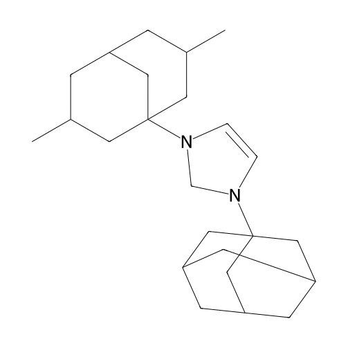 CC1CC2CC(C)CC(N3C=CN(C45CC6CC(CC(C6)C4)C5)C3)(C1)C2